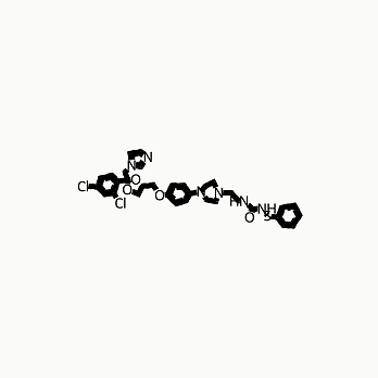 O=C(NCCN1CCN(c2ccc(OCC3COC(Cn4ccnc4)(c4ccc(Cl)cc4Cl)O3)cc2)CC1)NSc1ccccc1